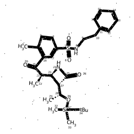 Cc1ccc(S(=O)(=O)NCCc2ccccc2)cc1C(=O)[C@H](C)[C@H]1NC(=O)[C@@H]1[C@@H](C)O[Si](C)(C)C(C)(C)C